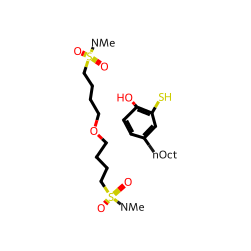 CCCCCCCCc1ccc(O)c(S)c1.CNS(=O)(=O)CCCCOCCCCS(=O)(=O)NC